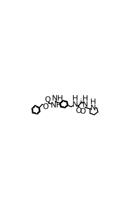 C[C@H](NC(=O)C1CCCCN1)C(=O)NCc1ccc(C(=N)NC(=O)OCc2ccccc2)cc1